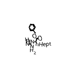 CCCCCCCC(NC(=N)N)C(=O)OCc1ccccc1